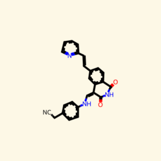 N#CCc1ccc(NC=C2C(=O)NC(=O)c3ccc(C=Cc4ccccn4)cc32)cc1